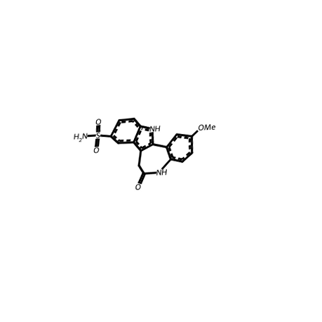 COc1ccc2c(c1)-c1[nH]c3ccc(S(N)(=O)=O)cc3c1CC(=O)N2